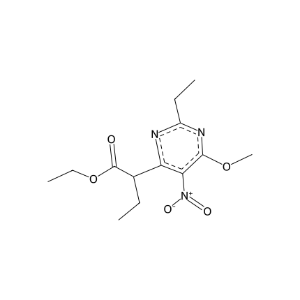 CCOC(=O)C(CC)c1nc(CC)nc(OC)c1[N+](=O)[O-]